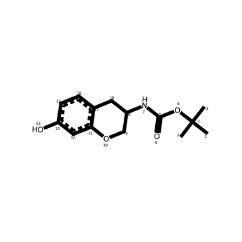 CC(C)(C)OC(=O)NC1COc2cc(O)ccc2C1